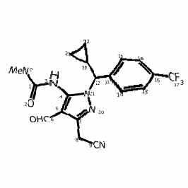 CNC(=O)Nc1c(C=O)c(CC#N)nn1C(c1ccc(C(F)(F)F)cc1)C1CC1